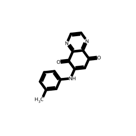 Cc1cccc(NC2=CC(=O)c3nccnc3C2=O)c1